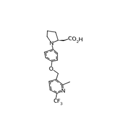 Cc1nc(C(F)(F)F)ccc1COc1ccc(N2CCC[C@H]2CC(=O)O)cc1